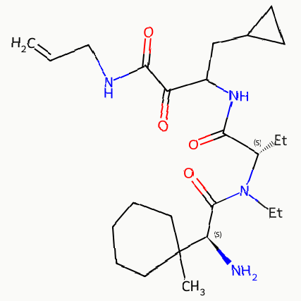 C=CCNC(=O)C(=O)C(CC1CC1)NC(=O)[C@H](CC)N(CC)C(=O)[C@@H](N)C1(C)CCCCC1